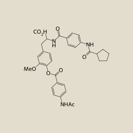 COc1cc(CC(NC(=O)c2ccc(NC(=O)C3CCCC3)cc2)C(=O)O)ccc1OC(=O)c1ccc(NC(C)=O)cc1